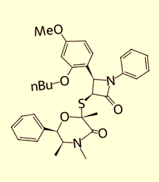 CCCCOc1cc(OC)ccc1[C@@H]1[C@H](S[C@@]2(C)O[C@H](c3ccccc3)[C@H](C)N(C)C2=O)C(=O)N1c1ccccc1